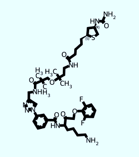 CC(C)(CCNC(=O)CCCC[C@H]1C[C@@H](NC(N)=O)CS1)OCC(C)(C)C(=O)NCc1cn(-c2cccc(C(=O)NC(CCCCN)C(=O)COc3c(F)cccc3F)c2)nn1